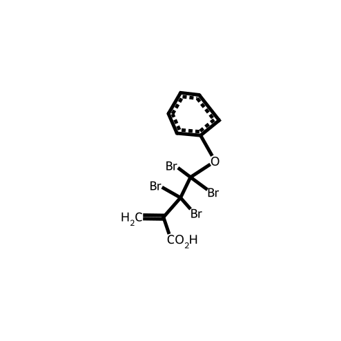 C=C(C(=O)O)C(Br)(Br)C(Br)(Br)Oc1ccccc1